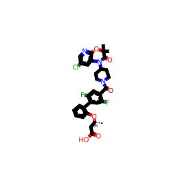 C[C@H](CC(=O)O)Oc1ccccc1-c1cc(F)c(C(=O)N2CCC(N3C(=O)C(C)(C)Oc4ncc(Cl)cc43)CC2)cc1F